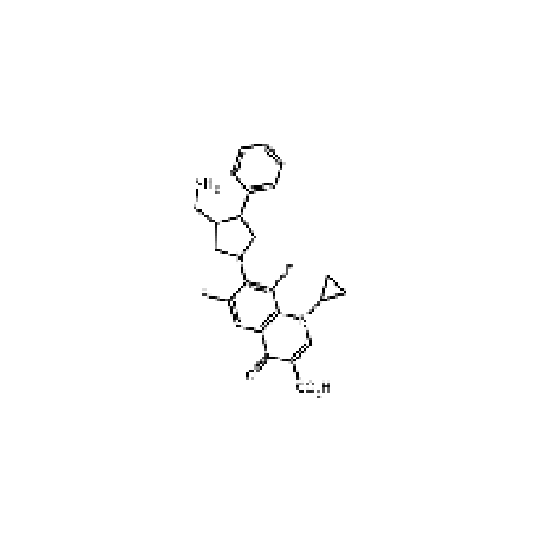 NCC1CN(c2c(F)cc3c(=O)c(C(=O)O)cn(C4CC4)c3c2F)CC1c1ccccc1